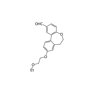 CCOCCOc1ccc2c(c1)CCOc1ccc(C=O)cc1-2